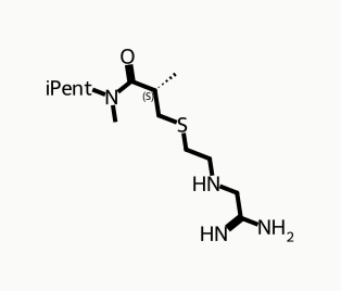 CCCC(C)N(C)C(=O)[C@H](C)CSCCNCC(=N)N